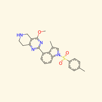 COc1nc(-c2cccc3c2c(C)cn3S(=O)(=O)c2ccc(C)cc2)nc2c1CNCC2